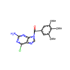 COc1cc(C(=O)n2cnc3c(Cl)nc(N)nc32)cc(OC)c1OC